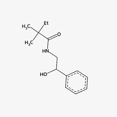 CCC(C)(C)C(=O)NCC(O)c1ccccc1